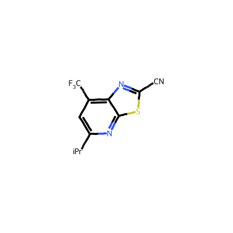 CC(C)c1cc(C(F)(F)F)c2nc(C#N)sc2n1